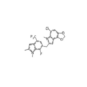 Cc1cc2c(C(F)(F)F)cc(Cc3cc4c5c(cc(Cl)c4n3C)OCO5)c(F)c2n1C